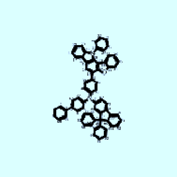 c1ccc(-c2ccc(N(c3ccc(-c4cc5c6ccccc6n(-c6ccccc6)c5c5c4oc4ccccc45)cc3)c3ccc4c(c3)C(c3ccccc3)(c3ccccc3)c3ccccc3-4)cc2)cc1